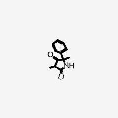 CC1C(=O)NC(C)(c2ccccc2)C1=O